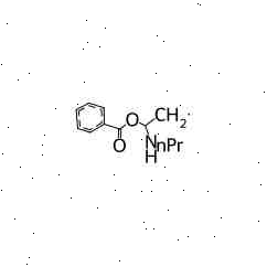 [CH2]C(NCCC)OC(=O)c1ccccc1